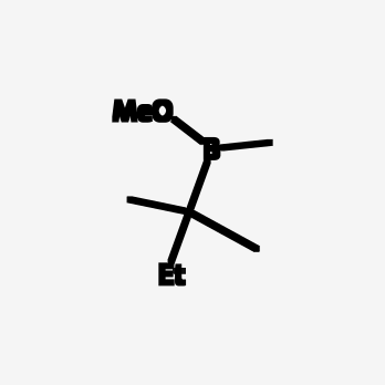 CCC(C)(C)B(C)OC